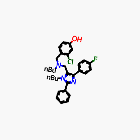 CCCCN(Cc1ccc(O)cc1Cl)Cc1c(-c2ccc(F)cc2)nc(-c2ccccc2)n1CCCC